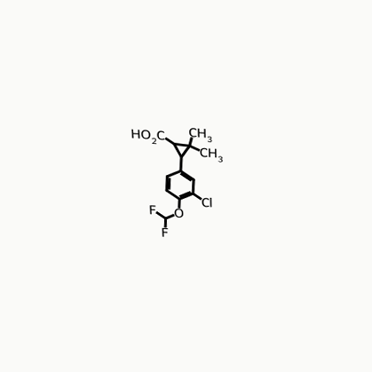 CC1(C)C(C(=O)O)C1c1ccc(OC(F)F)c(Cl)c1